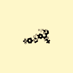 CC(C)(C)c1nc(-c2ccnc(N)n2)c(-c2ccc(F)c(N3CCN(c4ccc(S(C)(=O)=O)cc4)C3=O)c2)s1